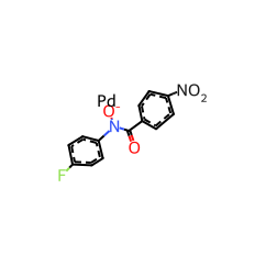 O=C(c1ccc([N+](=O)[O-])cc1)N([O-])c1ccc(F)cc1.[Pd]